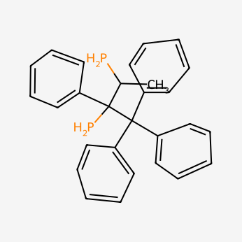 CC(P)C(P)(c1ccccc1)C(c1ccccc1)(c1ccccc1)c1ccccc1